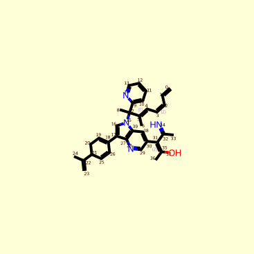 C=C/C=C\C=C(/C)C(C)(c1ccccn1)n1cc(C2=CCC(C(=C)C)C=C2)c2ncc(/C(C(C)=N)=C(\C)O)cc21